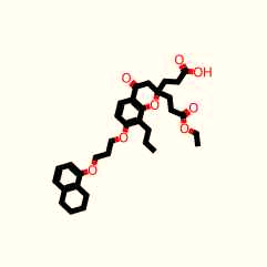 CCCc1c(OCCCOc2cccc3c2CCCC3)ccc2c1OC(CCC(=O)O)(CCC(=O)OCC)CC2=O